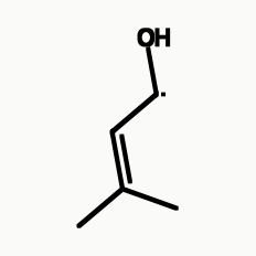 CC(C)=C[CH]O